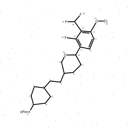 CCCCCC1CCC(CCC2CCC(c3ccc(OCC)c(C(F)F)c3F)OC2)CC1